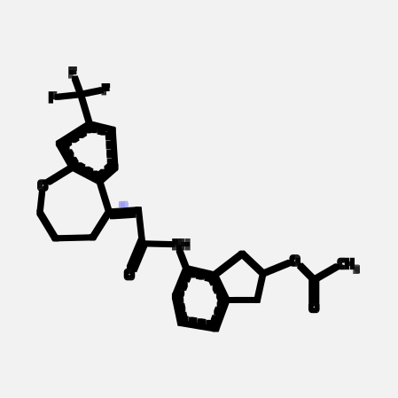 CC(=O)OC1Cc2cccc(NC(=O)/C=C3\CCCOc4cc(C(F)(F)F)ccc43)c2C1